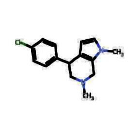 CN1Cc2c(ccn2C)C(c2ccc(Cl)cc2)C1